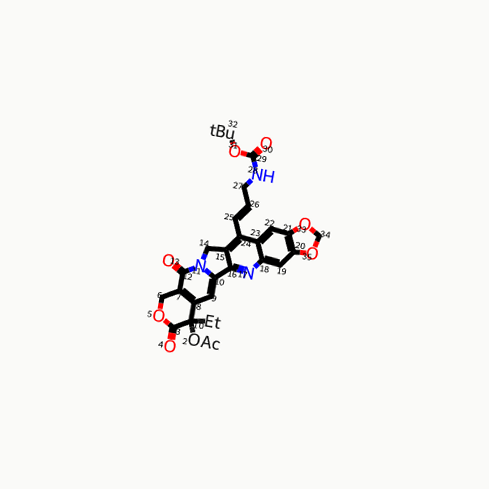 CCC1(OC(C)=O)C(=O)OCc2c1cc1n(c2=O)Cc2c-1nc1cc3c(cc1c2C=CCNC(=O)OC(C)(C)C)OCO3